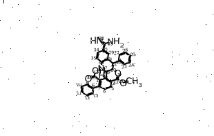 COC(=O)c1ccc(-c2ccccc2)c(C(=O)O)c1C1CC(c2ccccc2)c2cc(C(=N)N)ccc2N1